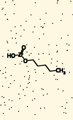 CCCCC[O][Zr](=[O])[OH]